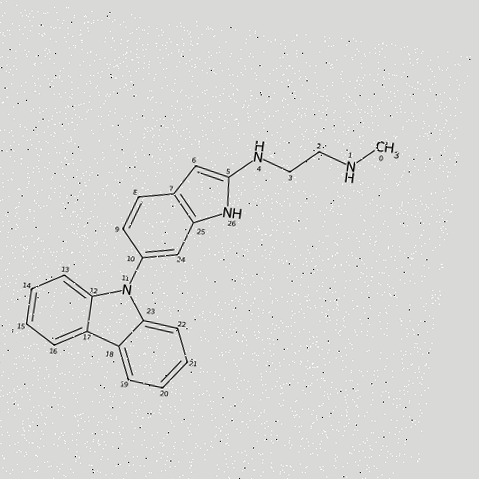 CNCCNc1cc2ccc(-n3c4ccccc4c4ccccc43)cc2[nH]1